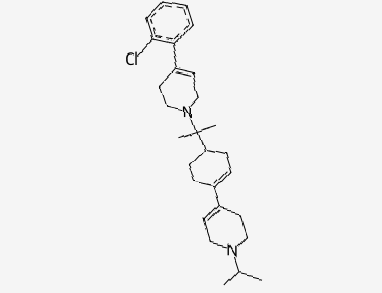 CC(C)N1CC=C(C2=CCC(C(C)(C)N3CC=C(c4ccccc4Cl)CC3)CC2)CC1